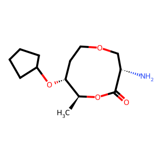 C[C@@H]1OC(=O)[C@@H](N)COCC[C@H]1OC1CCCC1